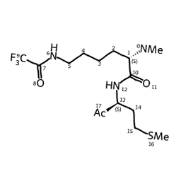 CN[C@@H](CCCCNC(=O)C(F)(F)F)C(=O)N[C@@H](CCSC)C(C)=O